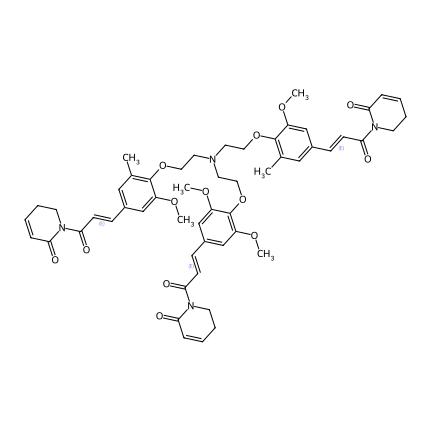 COc1cc(/C=C/C(=O)N2CCC=CC2=O)cc(C)c1OCCN(CCOc1c(C)cc(/C=C/C(=O)N2CCC=CC2=O)cc1OC)CCOc1c(OC)cc(/C=C/C(=O)N2CCC=CC2=O)cc1OC